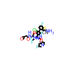 N#Cc1c(N)sc2c(F)ccc(-c3c(Cl)c4c5c(nc(OC[C@@]67CCCN6C[C@H](F)C7)nc5c3F)N(CC(F)F)[C@@H](CNC(=O)CC3COC3)CO4)c12